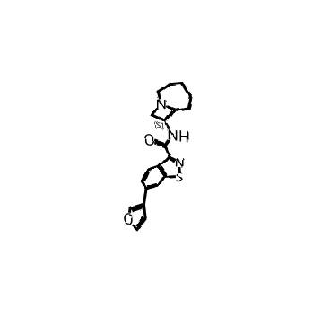 O=C(N[C@H]1CN2CCCCCC12)c1nsc2cc(-c3ccoc3)ccc12